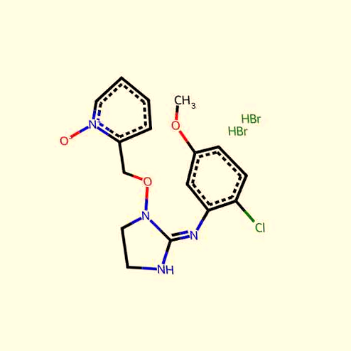 Br.Br.COc1ccc(Cl)c(N=C2NCCN2OCc2cccc[n+]2[O-])c1